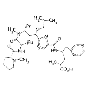 C=C(C)COC(CC(C(C)C)N(C)C(=O)C(NC(=O)[C@H]1CCCCN1C)C(C)CC)c1nc(C(=O)NC(Cc2ccccc2)CC(C)C(=O)O)cs1